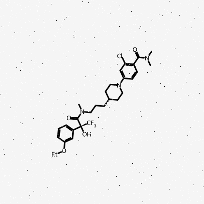 CCOc1cccc([C@@](O)(C(=O)N(C)CCCC2CCN(c3ccc(C(=O)N(C)C)c(Cl)c3)CC2)C(F)(F)F)c1